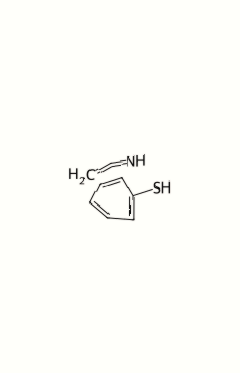 C=C=N.Sc1ccccc1